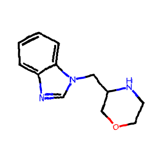 c1ccc2c(c1)ncn2CC1COCCN1